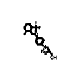 Cc1cccc(C(F)(F)F)c1COc1ccc(-n2cc(CO)nn2)cc1